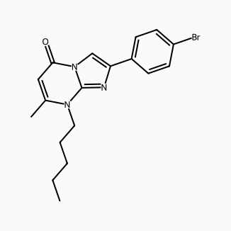 CCCCCn1c(C)cc(=O)n2cc(-c3ccc(Br)cc3)nc12